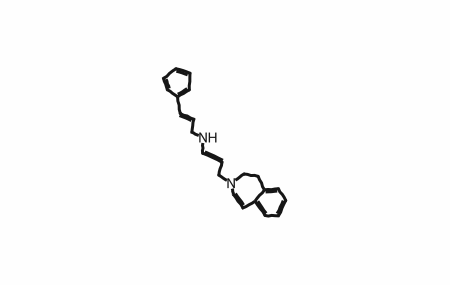 C(=Cc1ccccc1)CNC=CCN1C=Cc2ccccc2CC1